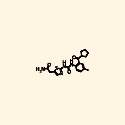 Cc1ccc(NC(=O)Nc2ncc(CC(N)=O)s2)c(C(=O)C2CCCC2)c1